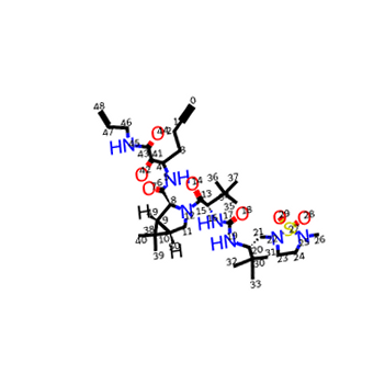 C#CCCC(NC(=O)[C@@H]1[C@@H]2[C@H](CN1C(=O)[C@@H](NC(=O)N[C@H](CN1CCN(C)S1(=O)=O)C(C)(C)C)C(C)(C)C)C2(C)C)C(=O)C(=O)NCC=C